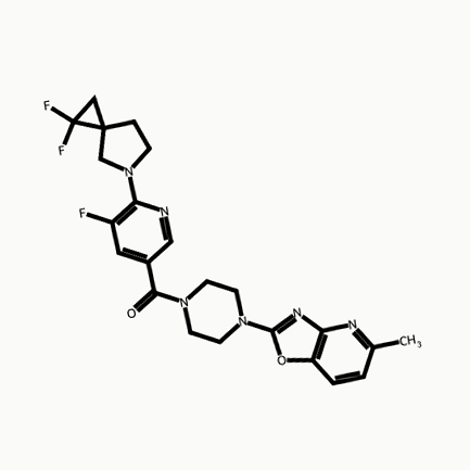 Cc1ccc2oc(N3CCN(C(=O)c4cnc(N5CCC6(C5)CC6(F)F)c(F)c4)CC3)nc2n1